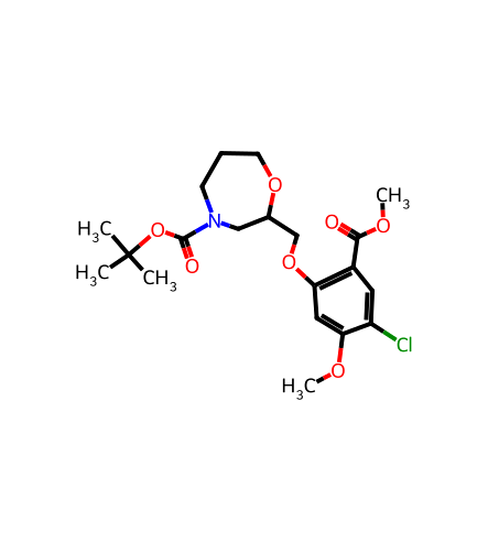 COC(=O)c1cc(Cl)c(OC)cc1OCC1CN(C(=O)OC(C)(C)C)CCCO1